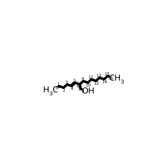 CCCCC=CC(CO)CCCCCCCC